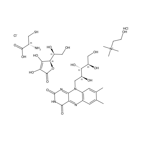 C[N+](C)(C)CCO.Cc1cc2nc3c(=O)[nH]c(=O)nc-3n(C[C@H](O)[C@H](O)[C@H](O)CO)c2cc1C.Cl.N[C@@H](CS)C(=O)O.O=C1O[C@H]([C@@H](O)CO)C(O)=C1O.[Cl-]